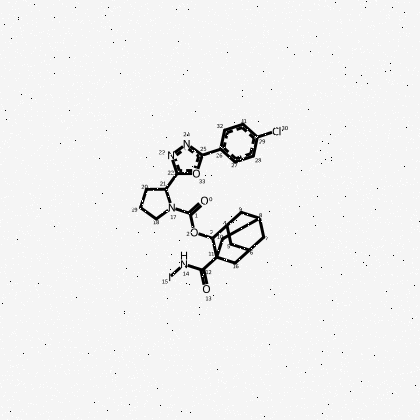 O=C(OC1C2CC3CC(C2)CC1(C(=O)NI)C3)N1CCCC1c1nnc(-c2ccc(Cl)cc2)o1